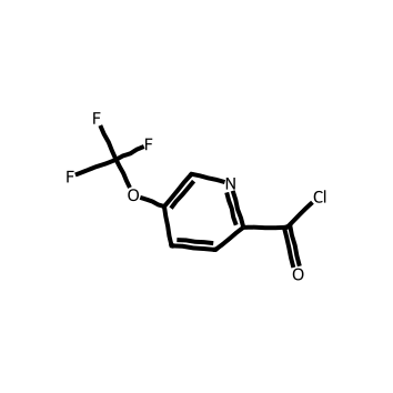 O=C(Cl)c1ccc(OC(F)(F)F)cn1